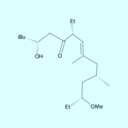 CC[C@H](C[C@@H](C)C/C(C)=C/[C@@H](CC)C(=O)C[C@H](O)[C@@H](C)CC)OC